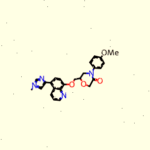 COc1ccc(N2CC(COc3ccc(-c4cn(C)cn4)c4cccnc34)OCC2=O)cc1